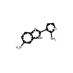 Nc1ccc2nc(-c3ccoc3N)[nH]c2c1